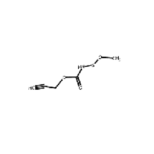 C#CCOC(=O)NSOC